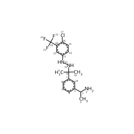 CC(N)c1cccc(C(C)(C)NNc2ccc(Cl)c(C(F)(F)F)c2)c1